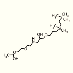 CC(O)OCCOCCNCC(O)COCCC[Si](C)(C)CC[Si](C)(C)C